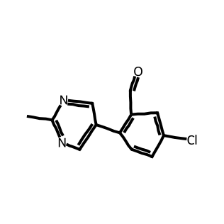 Cc1ncc(-c2ccc(Cl)cc2C=O)cn1